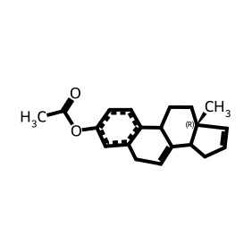 CC(=O)Oc1ccc2c(c1)CC=C1C2CC[C@]2(C)C=CCC12